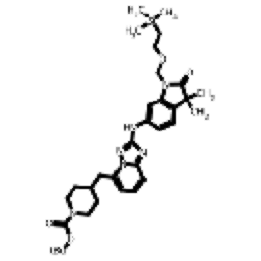 CC(C)(C)OC(=O)N1CCC(Cc2cccc3nc(Nc4ccc5c(c4)N(COCC[Si](C)(C)C)C(=O)C5(C)C)nn23)CC1